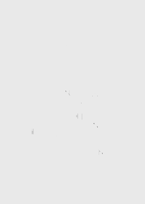 CCC(C)OP(=O)(O)CN(C(=O)c1csc(N)n1)c1ccccc1